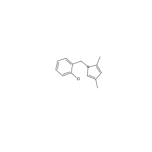 Cc1cc(C)n(Cc2ccccc2Cl)c1